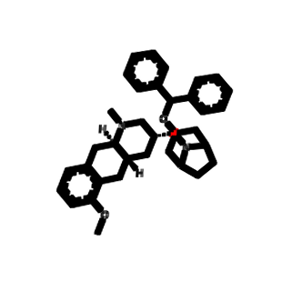 COc1cccc2c1C[C@H]1C[C@@H](CN3C4CCC3CC(OC(c3ccccc3)c3ccccc3)C4)CN(C)[C@@H]1C2